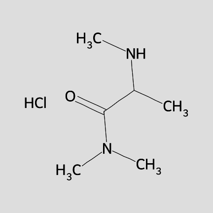 CNC(C)C(=O)N(C)C.Cl